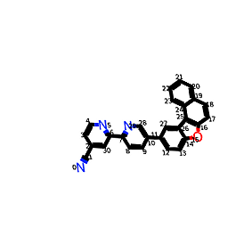 N#Cc1ccnc(-c2ccc(-c3ccc4oc5ccc6ccccc6c5c4c3)cn2)c1